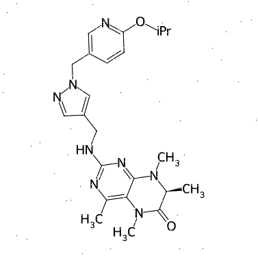 Cc1nc(NCc2cnn(Cc3ccc(OC(C)C)nc3)c2)nc2c1N(C)C(=O)[C@H](C)N2C